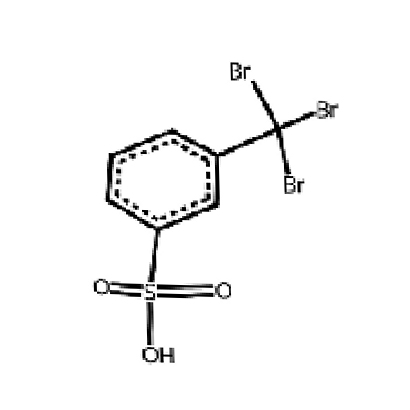 O=S(=O)(O)c1cccc(C(Br)(Br)Br)c1